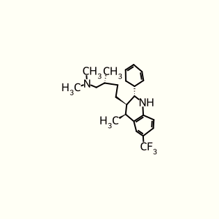 C[C@H](CC[C@@H]1[C@H](C)c2cc(C(F)(F)F)ccc2N[C@H]1C1C=CC=CC1)CN(C)C